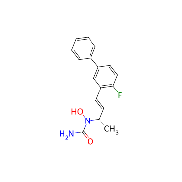 C[C@@H](/C=C/c1cc(-c2ccccc2)ccc1F)N(O)C(N)=O